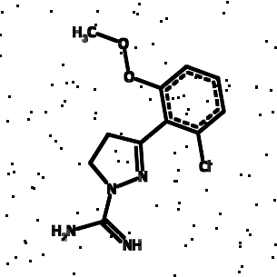 COOc1cccc(Cl)c1C1=NN(C(=N)N)CC1